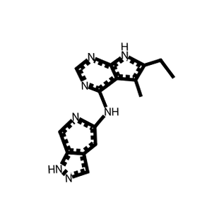 CCc1[nH]c2ncnc(Nc3cc4cn[nH]c4cn3)c2c1C